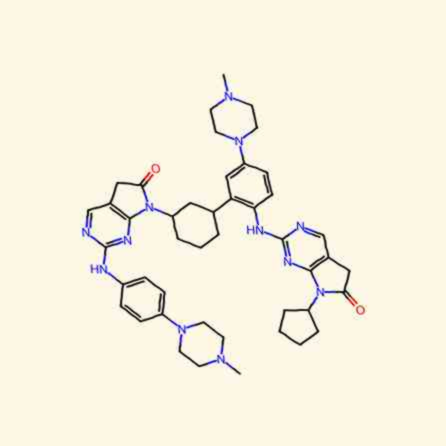 CN1CCN(c2ccc(Nc3ncc4c(n3)N(C3CCCC(c5cc(N6CCN(C)CC6)ccc5Nc5ncc6c(n5)N(C5CCCC5)C(=O)C6)C3)C(=O)C4)cc2)CC1